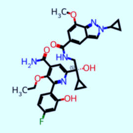 CCOc1c(C(N)=O)cc([C@@](O)(CNC(=O)c2cc(OC)c3nn(C4CC4)cc3c2)C2CC2)nc1-c1ccc(F)cc1O